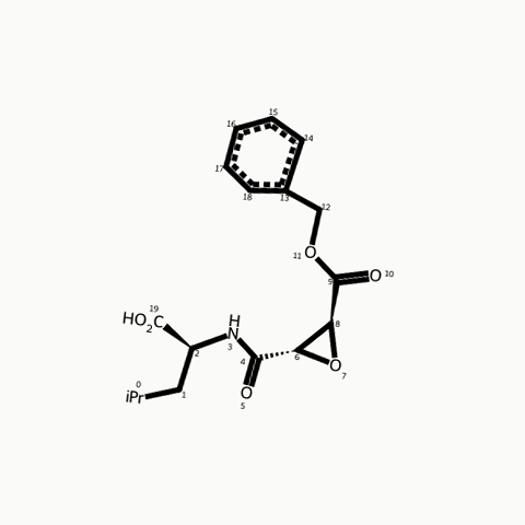 CC(C)C[C@H](NC(=O)[C@H]1O[C@@H]1C(=O)OCc1ccccc1)C(=O)O